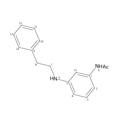 CC(=O)Nc1cccc(NCCc2ccccc2)c1